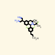 CC1Cc2cc(/C(C=N)=C/N)ccc2C(c2c(F)cc(/C=C/C(=O)O)cc2F)N1CC(C)(C)F